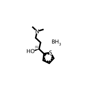 B.CN(C)CC[C@H](O)c1cccs1